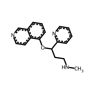 CNCCC(Oc1cccc2cnccc12)c1ccccn1